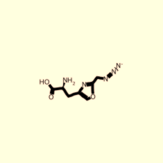 [N-]=[N+]=NCc1nc(C[C@H](N)C(=O)O)co1